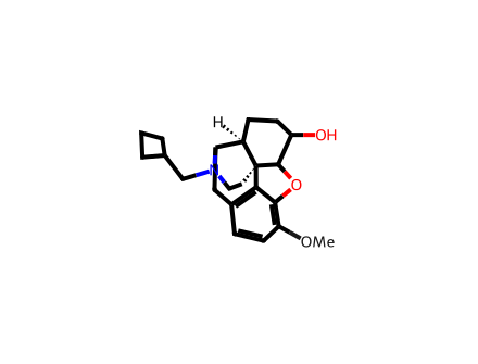 COc1ccc2c3c1OC1C(O)CC[C@@H]4C(C2)N(CC2CCC2)CC[C@@]314